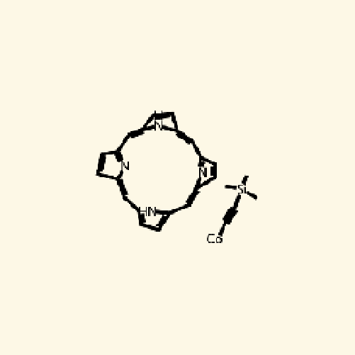 C1=Cc2cc3ccc(cc4nc(cc5ccc(cc1n2)[nH]5)C=C4)[nH]3.C[Si](C)(C)C#[C][Co]